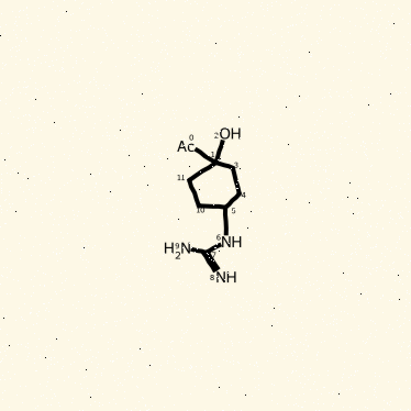 CC(=O)C1(O)CCC(NC(=N)N)CC1